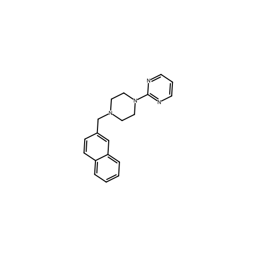 c1cnc(N2CCN(Cc3ccc4ccccc4c3)CC2)nc1